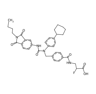 CCCCN1C(=O)c2ccc(NC(=O)N(Cc3ccc(C(=O)NCC(F)C(=O)O)cc3)c3ccc(C4CCCCC4)cc3)cc2C1=O